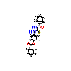 O=C(NC(=S)Nc1ccc(OC(=O)c2ccccc2)cc1)c1ccccc1